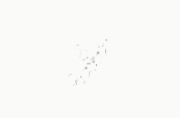 COc1ccc(CN(Cc2ccc(C(=O)O)cc2)S(=O)(=O)c2ccc(CO)cc2)cc1